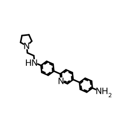 Nc1ccc(-c2ccc(-c3ccc(NCCN4CCCC4)cc3)nc2)cc1